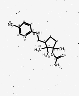 CC1(OC(N)=O)CCC(CNc2ccc(C#N)cn2)C1(C)C